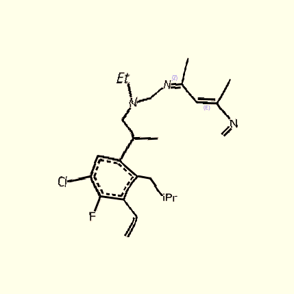 C=Cc1c(F)c(Cl)cc(C(C)CN(CC)C/N=C(C)\C=C(/C)N=C)c1CC(C)C